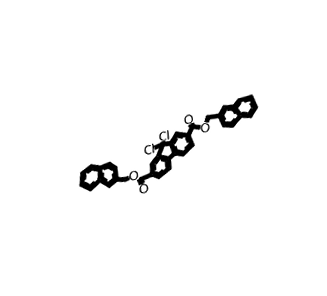 O=C(OCc1ccc2ccccc2c1)c1ccc2c(c1)C(Cl)(Cl)c1cc(C(=O)OCc3ccc4ccccc4c3)ccc1-2